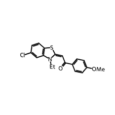 CCN1C(=CC(=O)c2ccc(OC)cc2)Sc2ccc(Cl)cc21